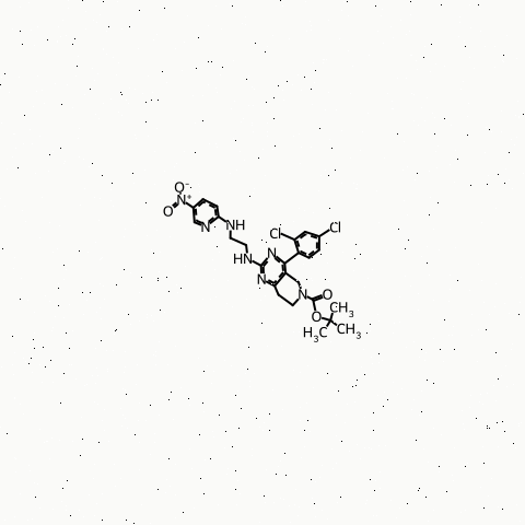 CC(C)(C)OC(=O)N1CCc2nc(NCCNc3ccc([N+](=O)[O-])cn3)nc(-c3ccc(Cl)cc3Cl)c2C1